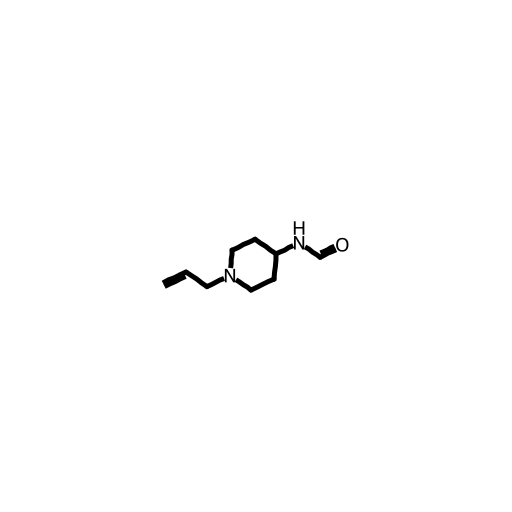 C=CCN1CCC(NC=O)CC1